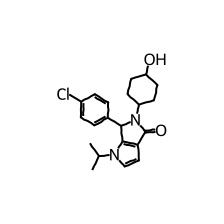 CC(C)n1ccc2c1C(c1ccc(Cl)cc1)N(C1CCC(O)CC1)C2=O